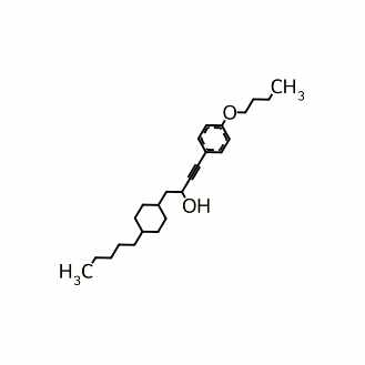 CCCCCC1CCC(CC(O)C#Cc2ccc(OCCCC)cc2)CC1